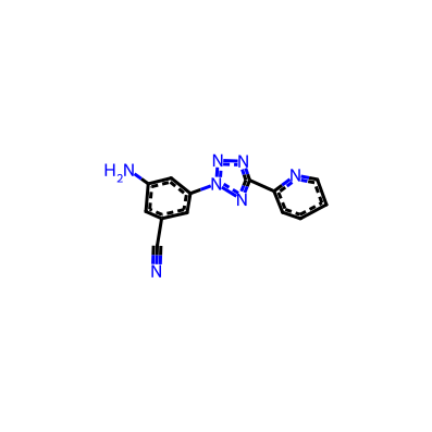 N#Cc1cc(N)cc(-n2nnc(-c3ccccn3)n2)c1